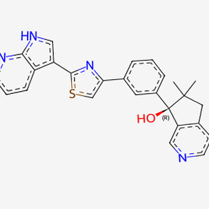 CC1(C)Cc2ccncc2[C@]1(O)c1cccc(-c2csc(-c3c[nH]c4ncccc34)n2)c1